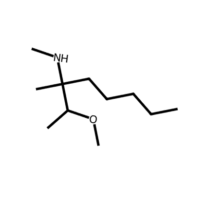 CCCCCC(C)(NC)C(C)OC